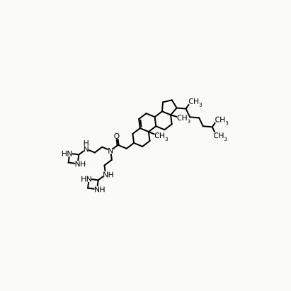 CC(C)CCCC(C)C1CCC2C3CC=C4CC(CC(=O)N(CCNC5NCN5)CCNC5NCN5)CCC4(C)C3CCC12C